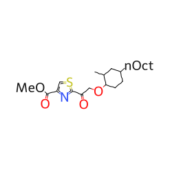 CCCCCCCCC1CCC(OCC(=O)c2nc(C(=O)OC)cs2)C(C)C1